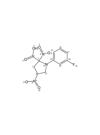 O=C(O)C1([N+](=O)[O-])CC([N+](=O)[O-])CN1c1cccc(F)c1